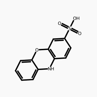 O=S(=O)(O)c1ccc2c(c1)Oc1ccccc1N2